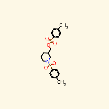 Cc1ccc(S(=O)(=O)OCC2CCCN(S(=O)(=O)c3ccc(C)cc3)C2)cc1